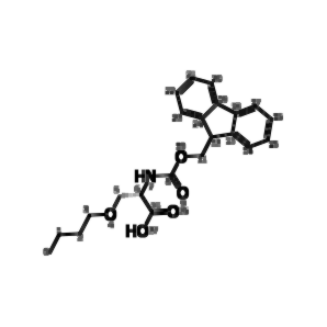 CCCCOC[C@H](NC(=O)OCC1c2ccccc2-c2ccccc21)C(=O)O